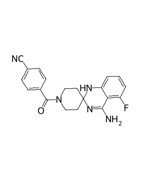 N#Cc1ccc(C(=O)N2CCC3(CC2)N=C(N)c2c(F)cccc2N3)cc1